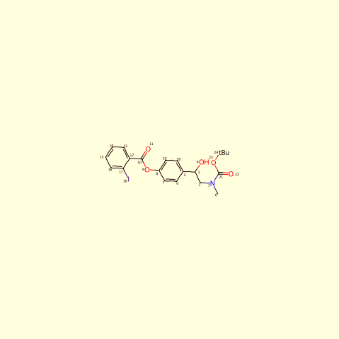 CN(CC(O)c1ccc(OC(=O)c2ccccc2I)cc1)C(=O)OC(C)(C)C